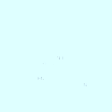 CCCCCCNC(=O)c1cc(C#N)ccc1NC1CCCC1